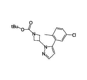 Cc1ccc(Cl)cc1-c1ccnn1C1CN(C(=O)OC(C)(C)C)C1